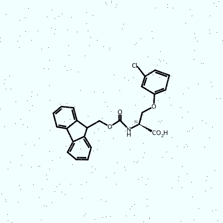 O=C(N[C@@H](COc1cccc(Cl)c1)C(=O)O)OCC1c2ccccc2-c2ccccc21